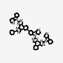 c1ccc(-c2ncc3c4cc(-c5ccc6c(c5)c5cnccc5n6-c5ncc6c7ccccc7c7cnc(-n8c9ccccc9c9cnccc98)nc7c6n5)ccc4c4cnc(-n5c6ccccc6c6cccnc65)nc4c3n2)cc1